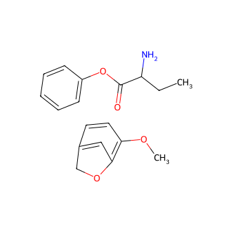 CCC(N)C(=O)Oc1ccccc1.COc1ccc2cc1OC2